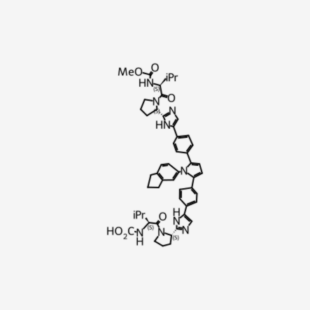 COC(=O)N[C@H](C(=O)N1CCC[C@H]1c1ncc(-c2ccc(-c3ccc(-c4ccc(-c5cnc([C@@H]6CCCN6C(=O)[C@@H](NC(=O)O)C(C)C)[nH]5)cc4)n3-c3ccc4c(c3)CCC4)cc2)[nH]1)C(C)C